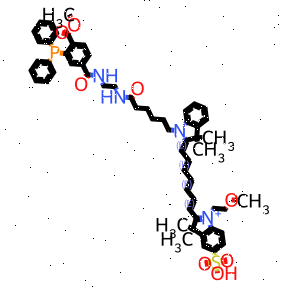 COCC[N+]1=C(/C=C/C=C/C=C/C=C2/N(CCCCCC(=O)NCCNC(=O)c3ccc(C(=O)OC)c(P(c4ccccc4)c4ccccc4)c3)c3ccccc3C2(C)C)C(C)(C)c2cc(S(=O)(=O)O)ccc21